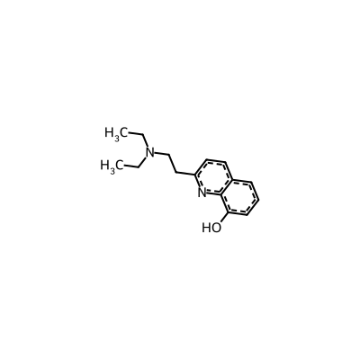 CCN(CC)CCc1ccc2cccc(O)c2n1